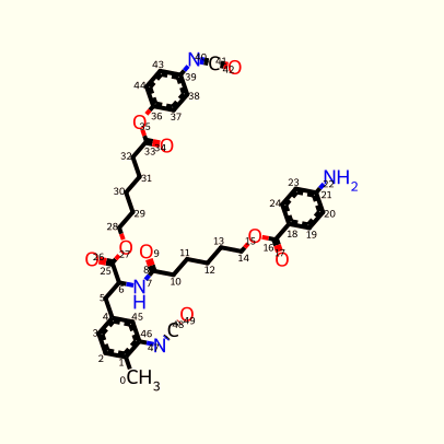 Cc1ccc(CC(NC(=O)CCCCCOC(=O)c2ccc(N)cc2)C(=O)OCCCCCC(=O)Oc2ccc(N=C=O)cc2)cc1N=C=O